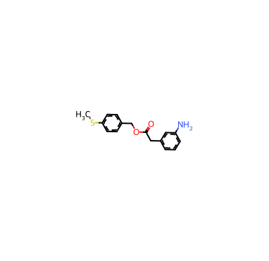 CSc1ccc(COC(=O)Cc2cccc(N)c2)cc1